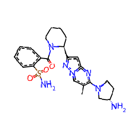 Cc1cn2nc([C@@H]3CCCCN3C(=O)c3ccccc3S(N)(=O)=O)cc2nc1N1CC[C@H](N)C1